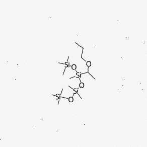 CCCOC(C)[Si](C)(O[Si](C)(C)C)O[Si](C)(C)O[Si](C)(C)C